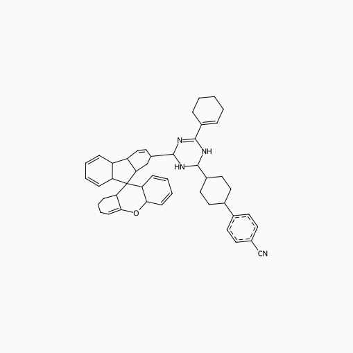 N#Cc1ccc(C2CCC(C3NC(C4=CCCCC4)=NC(C4C=CC5C6C=CC=CC6C6(C7CCCC=C7OC7C=CC=CC76)C5C4)N3)CC2)cc1